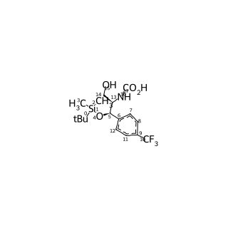 CC(C)(C)[Si](C)(C)O[C@H](c1ccc(C(F)(F)F)cc1)[C@@H](CO)NC(=O)O